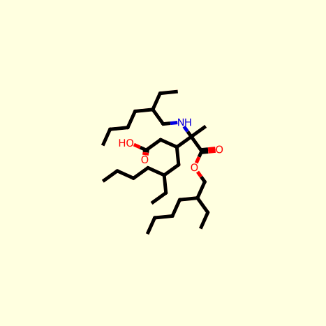 CCCCC(CC)CNC(C)(C(=O)OCC(CC)CCCC)C(CC(=O)O)CC(CC)CCCC